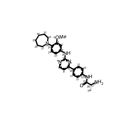 COc1cc(Nc2nccc(-c3ccc(NC(=O)[C@@H](C)N)cc3)n2)ccc1N1CCCCCC1